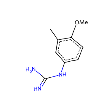 COc1ccc(NC(=N)N)cc1C